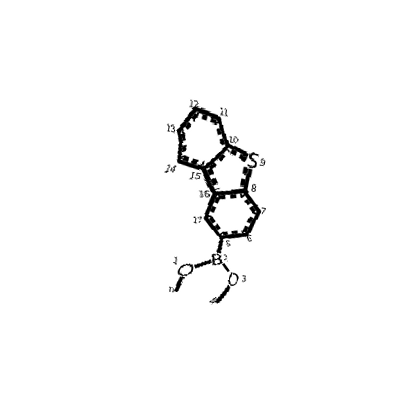 COB(OC)c1ccc2sc3ccccc3c2c1